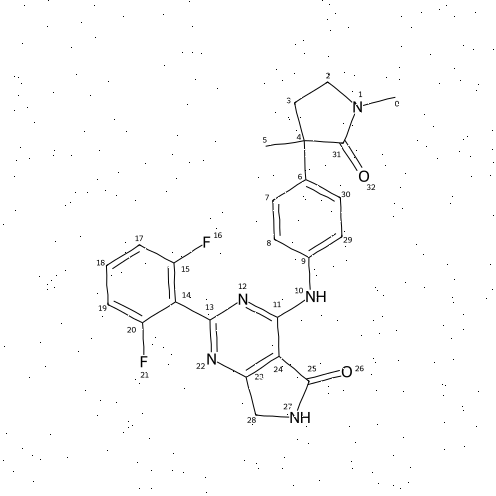 CN1CCC(C)(c2ccc(Nc3nc(-c4c(F)cccc4F)nc4c3C(=O)NC4)cc2)C1=O